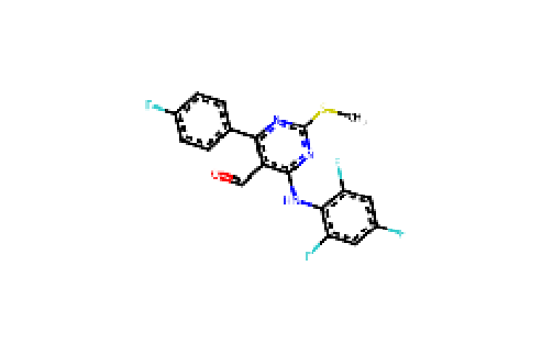 CSc1nc(Nc2c(F)cc(F)cc2F)c(C=O)c(-c2ccc(F)cc2)n1